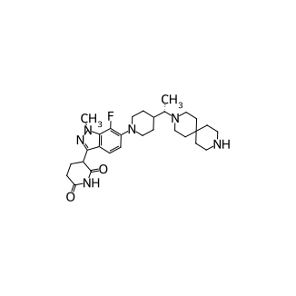 C[C@@H](C1CCN(c2ccc3c(C4CCC(=O)NC4=O)nn(C)c3c2F)CC1)N1CCC2(CCNCC2)CC1